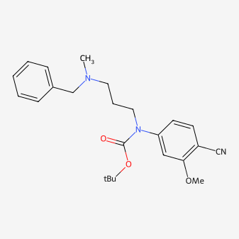 COc1cc(N(CCCN(C)Cc2ccccc2)C(=O)OC(C)(C)C)ccc1C#N